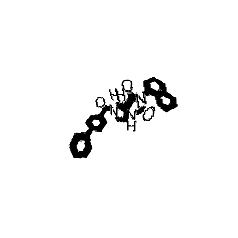 O=C1[C@@H]2[C@@H]3C[C@@H](CN3C(=O)c3ccc(-c4ccccc4)cc3)N2C(=O)N1c1cccc2ccccc12